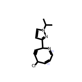 CC(C)n1ccc(C2C#CC(Cl)/C=C\C=N/2)n1